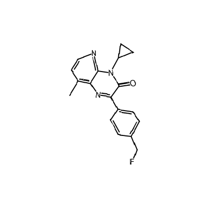 Cc1ccnc2c1nc(-c1ccc(CF)cc1)c(=O)n2C1CC1